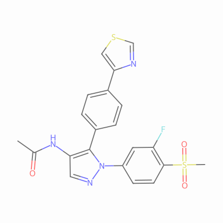 CC(=O)Nc1cnn(-c2ccc(S(C)(=O)=O)c(F)c2)c1-c1ccc(-c2cscn2)cc1